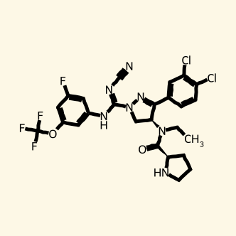 CCN(C(=O)[C@H]1CCCN1)[C@H]1CN(C(=NC#N)Nc2cc(F)cc(OC(F)(F)F)c2)N=C1c1ccc(Cl)c(Cl)c1